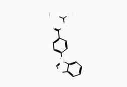 CC(C)OC(=O)c1ccc(-[n+]2csc3ccccc32)cc1